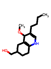 CCCCC1=CNC2=C(CC(CO)CC2)C1OC